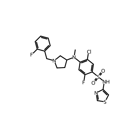 CN(c1cc(F)c(S(=O)(=O)Nc2cscn2)cc1Cl)C1CCN(Cc2ccccc2F)C1